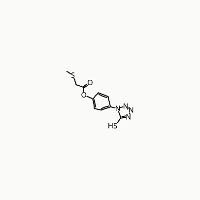 CSCC(=O)Oc1ccc(-n2nnnc2S)cc1